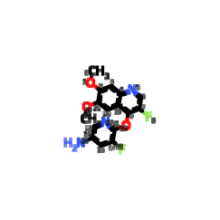 COc1cc2ncc(F)c(Oc3ncc(N)cc3F)c2cc1OC